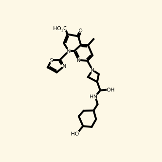 Cc1cc(N2CC(C(O)NCC3CCC(O)CC3)C2)nc2c1c(=O)c(C(=O)O)cn2-c1nccs1